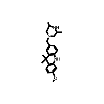 COc1ccc2c(c1)Nc1ccc(CN3CC(C)NC(C)C3)cc1C2(C)C